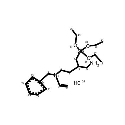 C=CN(CCC(CN)C[Si](OCC)(OCC)OCC)Cc1ccccc1.Cl